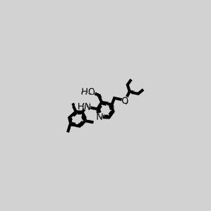 CCC(CC)OCc1ccnc(Nc2c(C)cc(C)cc2C)c1CO